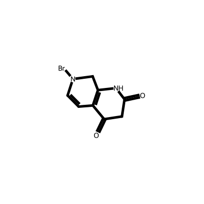 O=C1CC(=O)C2=C(CN(Br)C=C2)N1